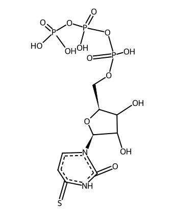 O=c1[nH]c(=S)ccn1[C@H]1O[C@@H](COP(=O)(O)OP(=O)(O)OP(=O)(O)O)C(O)C1O